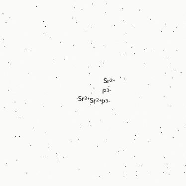 [P-3].[P-3].[Sr+2].[Sr+2].[Sr+2]